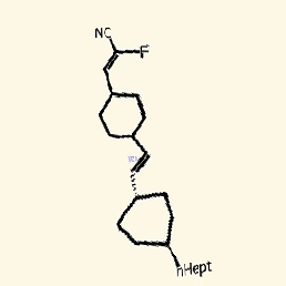 CCCCCCC[C@H]1CC[C@H](/C=C/C2CCC(C=C(F)C#N)CC2)CC1